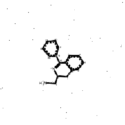 NCC1Cc2ccccc2C(c2ccccc2)=N1